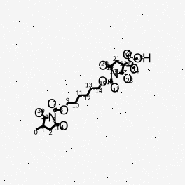 CC1CC(=O)N(C(=O)OCCCCCCOC(=O)N2C(=O)CC(S(=O)(=O)O)C2=O)C1=O